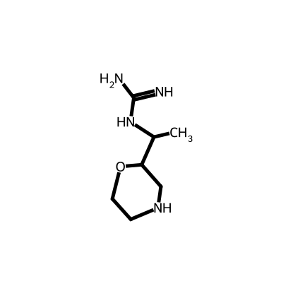 CC(NC(=N)N)C1CNCCO1